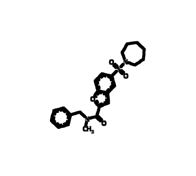 CN(Cc1ccccc1)C(=O)c1cc2cc(S(=O)(=O)N3CCCCCC3)ccc2o1